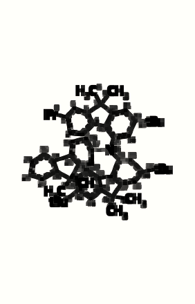 CC(C)c1ccc2c(c1)C(C)(C)c1cc(C(C)(C)C)cc(N(c3ccc4c(c3)C(C)(C)c3ccccc3-4)c3cc(C(C)(C)C)cc4c3-c3ccc(C(C)(C)C)cc3C4(C)C)c1-2